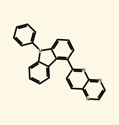 c1ccc(-n2c3ccccc3c3c(-c4ccc5nccnc5n4)cccc32)cc1